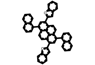 c1ccc2oc(-c3cc(-c4cccc5ccccc45)c4ccc5c(-c6cc7ccccc7o6)cc(-c6cccc7ccccc67)c6ccc3c4c56)cc2c1